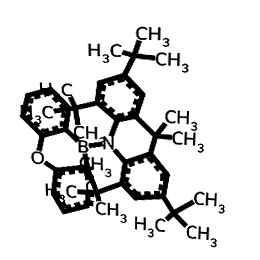 CC(C)(C)c1cc(C(C)(C)C)c2c(c1)C(C)(C)c1cc(C(C)(C)C)cc(C(C)(C)C)c1N2B1c2ccccc2Oc2ccccc21